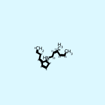 C=CC/C=C1/C=CCC1NC/C=C(C)\C=C/C